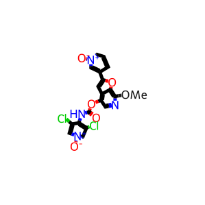 COc1ncc(OC(=O)Nc2c(Cl)c[n+]([O-])cc2Cl)c2cc(-c3ccc[n+]([O-])c3)oc12